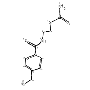 NC(=O)OCCNC(=O)c1ccc(CS)cc1